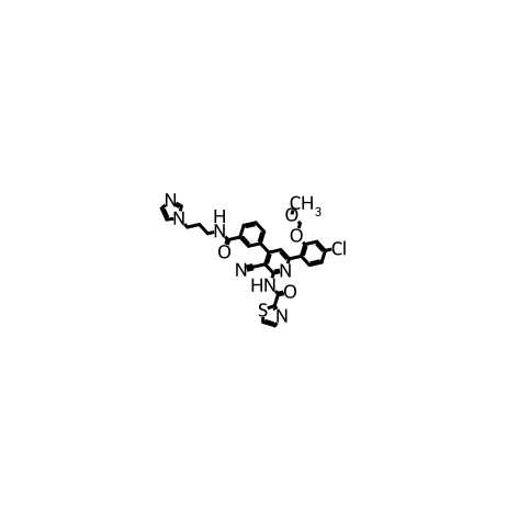 COCOc1cc(Cl)ccc1-c1cc(-c2cccc(C(=O)NCCCn3ccnc3)c2)c(C#N)c(NC(=O)c2nccs2)n1